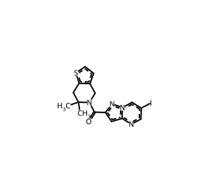 CC1(C)Cc2sccc2CN1C(=O)c1cc2ncc(I)cn2n1